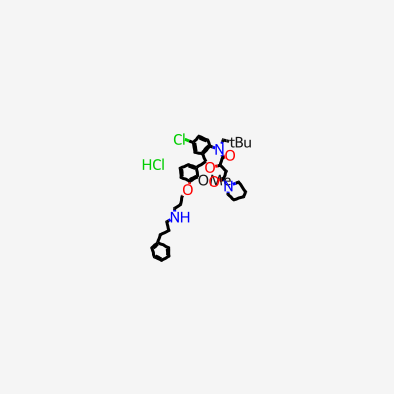 COc1c(OCCCNCCCc2ccccc2)cccc1C1OC(CC(=O)N2CCCCC2)C(=O)N(CC(C)(C)C)c2ccc(Cl)cc21.Cl